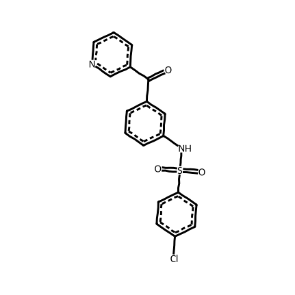 O=C(c1cccnc1)c1cccc(NS(=O)(=O)c2ccc(Cl)cc2)c1